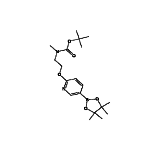 CN(CCOc1ccc(B2OC(C)(C)C(C)(C)O2)cn1)C(=O)OC(C)(C)C